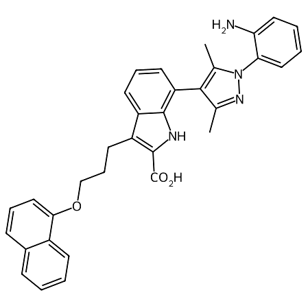 Cc1nn(-c2ccccc2N)c(C)c1-c1cccc2c(CCCOc3cccc4ccccc34)c(C(=O)O)[nH]c12